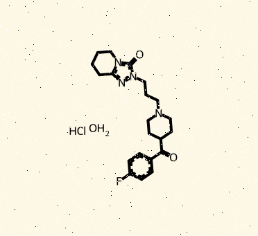 Cl.O.O=C(c1ccc(F)cc1)C1CCN(CCCn2nc3n(c2=O)CCCC3)CC1